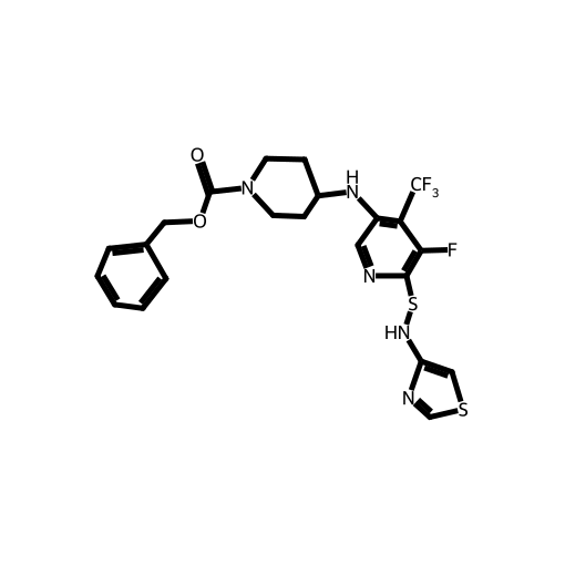 O=C(OCc1ccccc1)N1CCC(Nc2cnc(SNc3cscn3)c(F)c2C(F)(F)F)CC1